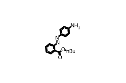 CCCCOC(=O)c1ccccc1N=Nc1ccc(N)cc1